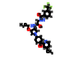 CCO[C@@H]1CN(C2CCC(O)(c3cc(C)ccn3)CC2)C[C@@H]1NC(=O)CNC(=O)c1cccc(C(F)(F)F)c1